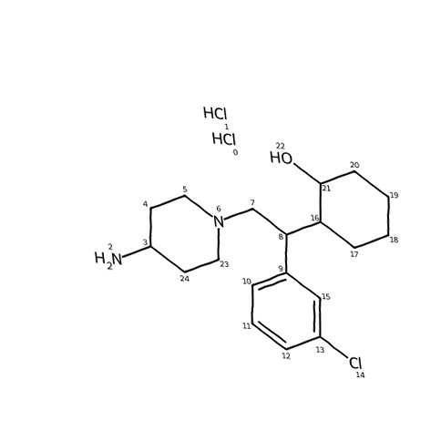 Cl.Cl.NC1CCN(CC(c2cccc(Cl)c2)C2CCCCC2O)CC1